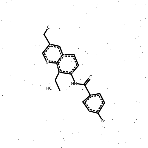 CCc1c(NC(=O)c2ccc(Br)cc2)ccc2cc(CCl)cnc12.Cl